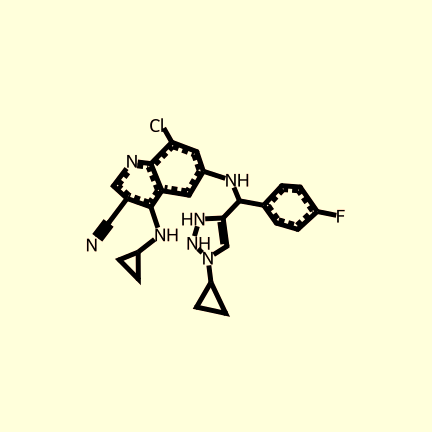 N#Cc1cnc2c(Cl)cc(NC(C3=CN(C4CC4)NN3)c3ccc(F)cc3)cc2c1NC1CC1